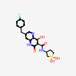 O=C(NC1CCS(O)(O)C1)c1c(O)c2ncc(Cc3ccc(F)cc3)cc2[nH]c1=O